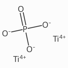 O=P([O-])([O-])[O-].[Ti+4].[Ti+4]